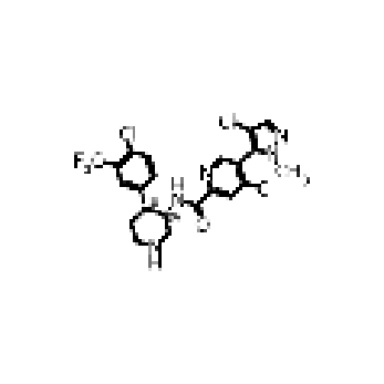 Cn1ncc(Cl)c1-c1cnc(C(=O)N[C@@H]2CNCC[C@H]2c2ccc(Cl)c(C(F)(F)F)c2)cc1Cl